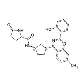 Cc1ccc2c(N3CC[C@@H](NC(=O)C4CCC(=O)N4)C3)nc(-c3ccccc3O)nc2c1